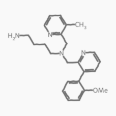 COc1ccccc1-c1cccnc1CN(CCCCN)Cc1ncccc1C